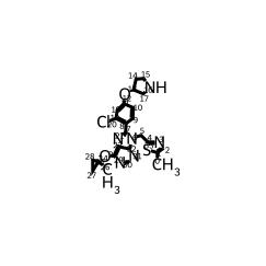 Cc1cnc(Cn2c(-c3ccc(O[C@H]4CCNC4)cc3Cl)nc3c(OC4(C)CC4)ncnc32)s1